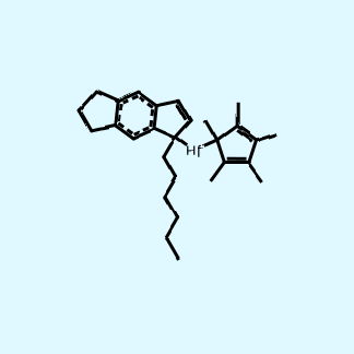 CCCCCC[C]1([Hf][C]2(C)C(C)=C(C)C(C)=C2C)C=Cc2cc3c(cc21)CCC3